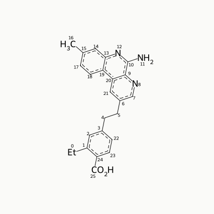 CCc1cc(CCc2cnc3c(N)nc4cc(C)ccc4c3c2)ccc1C(=O)O